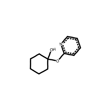 OC1(Oc2ccccn2)CCCCC1